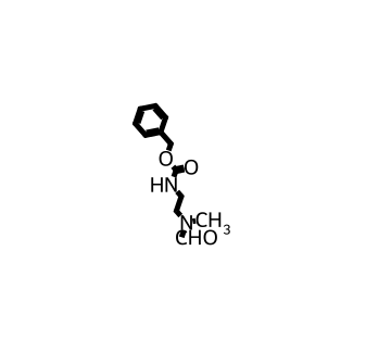 CN(C=O)CCNC(=O)OCc1ccccc1